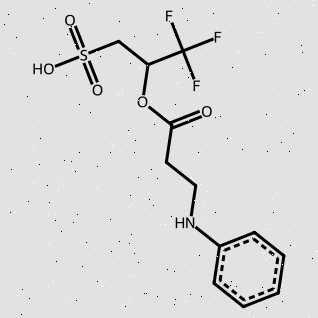 O=C(CCNc1ccccc1)OC(CS(=O)(=O)O)C(F)(F)F